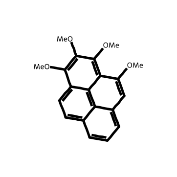 COc1c(OC)c2ccc3cccc4cc(OC)c(c1OC)c2c34